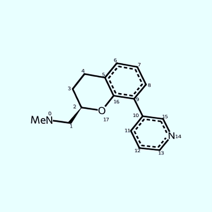 CNC[C@H]1CCc2cccc(-c3cccnc3)c2O1